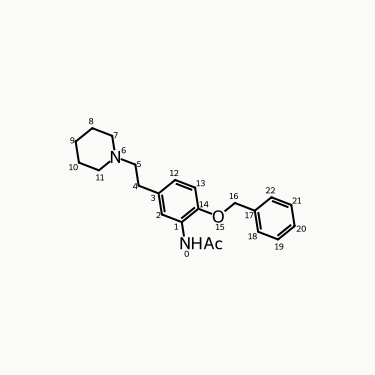 CC(=O)Nc1cc(CCN2CCCCC2)ccc1OCc1ccccc1